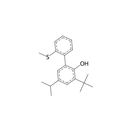 CSc1ccccc1-c1cc(C(C)C)cc(C(C)(C)C)c1O